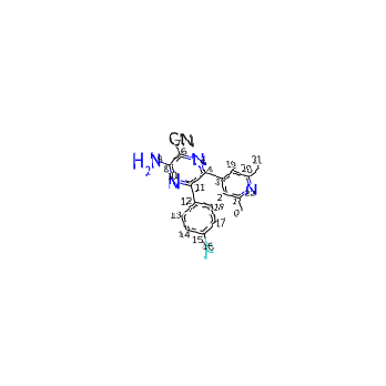 Cc1cc(-c2nc(C#N)c(N)nc2-c2ccc(F)cc2)cc(C)n1